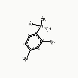 CC(C)(C)c1ccc([PH](O)(O)C(F)(F)F)c(C(C)(C)C)c1